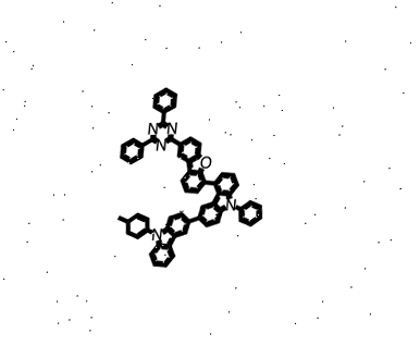 CC1C=CC(n2c3ccccc3c3cc(-c4ccc5c(c4)c4c(-c6cccc7c6oc6ccc(-c8nc(-c9ccccc9)nc(-c9ccccc9)n8)cc67)cccc4n5-c4ccccc4)ccc32)=CC1